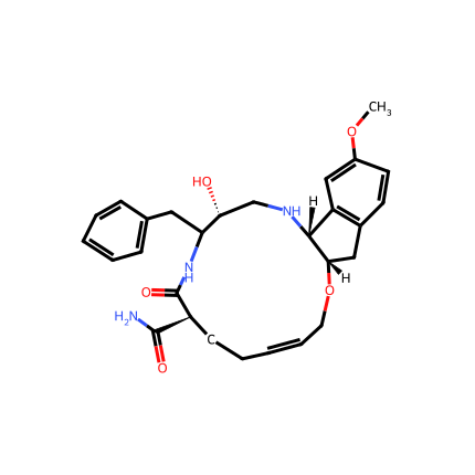 COc1ccc2c(c1)[C@H]1NC[C@@H](O)C(Cc3ccccc3)NC(=O)[C@H](C(N)=O)CC/C=C\CO[C@H]1C2